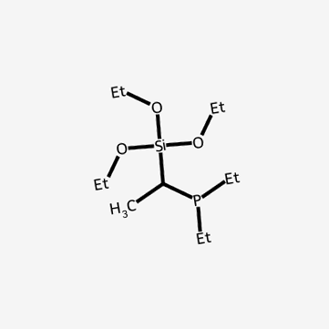 CCO[Si](OCC)(OCC)C(C)P(CC)CC